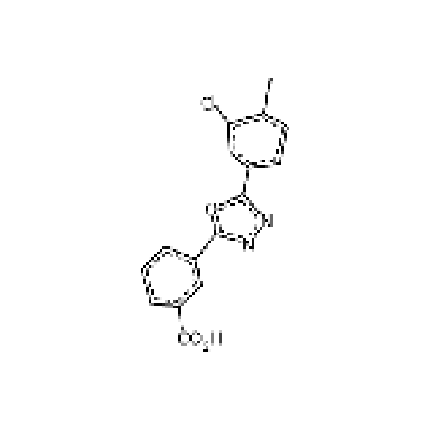 Cc1ccc(-c2nnc(-c3cccc(C(=O)O)c3)o2)cc1Cl